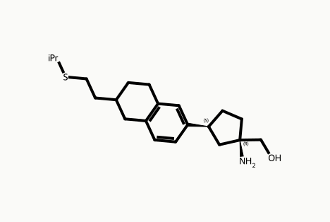 CC(C)SCCC1CCc2cc([C@H]3CC[C@](N)(CO)C3)ccc2C1